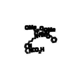 COC[C@@H](F)CN(CCCCc1ccc2c(n1)N(C(=O)O)CCC2)CC[C@H](NC(=O)OCc1ccccc1)C(=O)OC